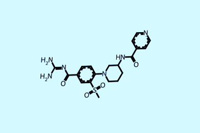 CS(=O)(=O)c1cc(C(=O)N=C(N)N)ccc1N1CCCC(NC(=O)c2ccncc2)C1